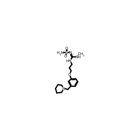 CN/C(=N/S(N)(=O)=O)NCCCOc1cccc(CN2CCCCC2)c1